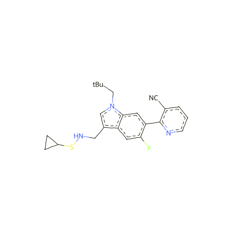 CC(C)(C)Cn1cc(CNSC2CC2)c2cc(F)c(-c3ncccc3C#N)cc21